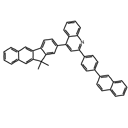 CC1(C)c2cc(-c3cc(-c4ccc(-c5ccc6ccccc6c5)cc4)nc4ccccc34)ccc2-c2cc3ccccc3cc21